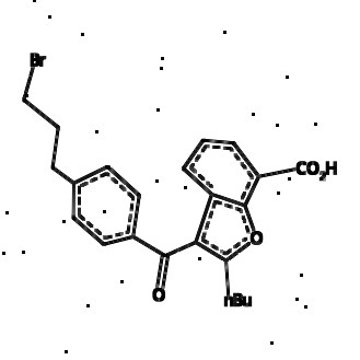 CCCCc1oc2c(C(=O)O)cccc2c1C(=O)c1ccc(CCCBr)cc1